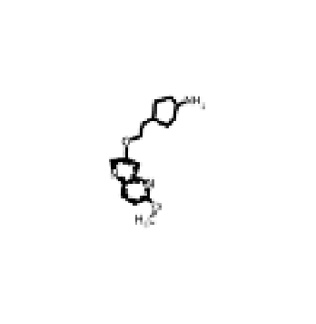 COc1ccc2ncc(OCCC3CCC(N)CC3)cc2n1